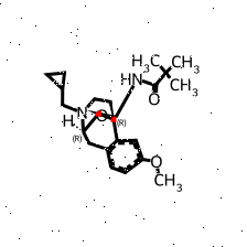 COc1ccc2c(c1)[C@]13CCN(CC4CC4)[C@H](C2)C1OCC(NC(=O)C(C)(C)C)C3